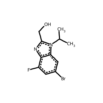 CC(C)n1c(CO)nc2c(F)cc(Br)cc21